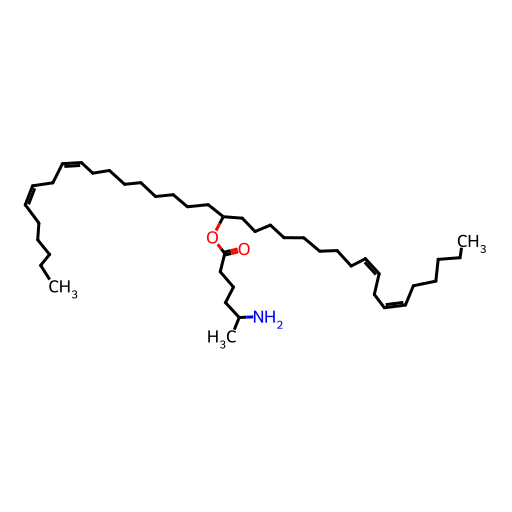 CCCCC/C=C\C/C=C\CCCCCCCCC(CCCCCCCC/C=C\C/C=C\CCCCC)OC(=O)CCCC(C)N